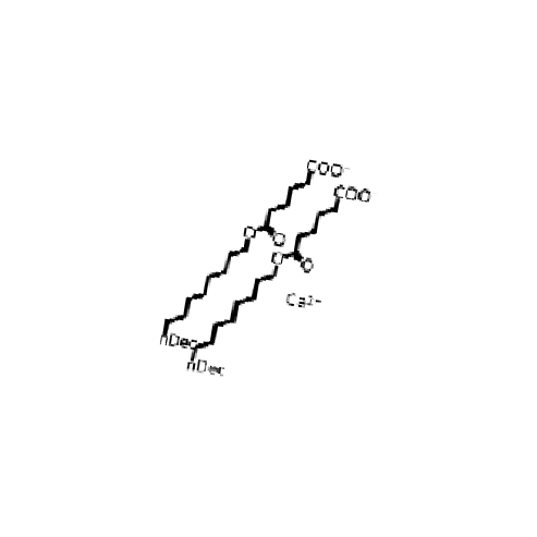 CCCCCCCCCCCCCCCCCCOC(=O)CCCCC(=O)[O-].CCCCCCCCCCCCCCCCCCOC(=O)CCCCC(=O)[O-].[Ca+2]